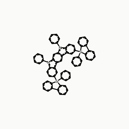 c1ccc(-n2c3ccc([Si]4(c5ccccc5)c5ccccc5-c5ccccc54)cc3c3cc4c5cc([Si]6(c7ccccc7)c7ccccc7-c7ccccc76)ccc5n(-c5ccccc5)c4cc32)cc1